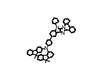 CC1(C)c2ccccc2-c2ccc(N(c3ccc(-c4ccc5c(c4)c4nc6c7ccccc7c7ccccc7n6c4n5-c4ccccc4)cc3)c3cccc4c3-c3ccccc3C4(C)C)cc21